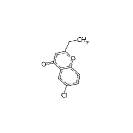 CCc1cc(=O)c2cc(Cl)ccc2o1